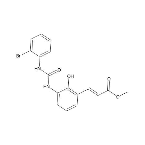 COC(=O)/C=C/c1cccc(NC(=O)Nc2ccccc2Br)c1O